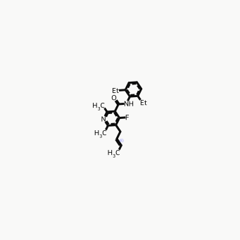 C/C=C/Cc1c(C)nc(C)c(C(=O)Nc2c(CC)cccc2CC)c1F